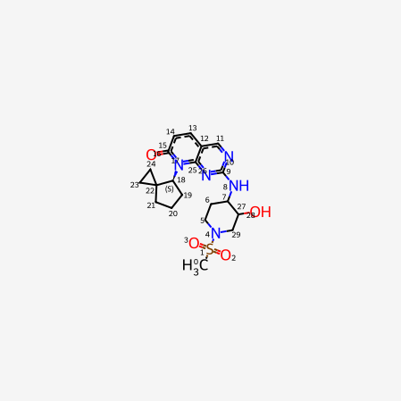 CS(=O)(=O)N1CCC(Nc2ncc3ccc(=O)n([C@H]4CCCC45CC5)c3n2)C(O)C1